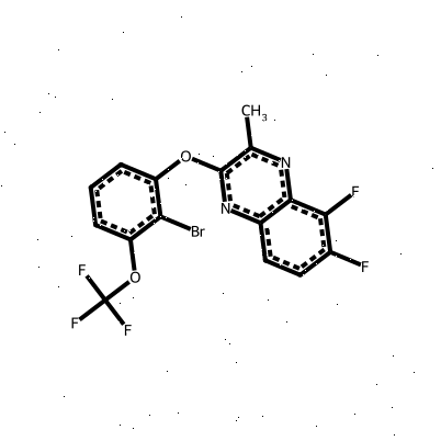 Cc1nc2c(F)c(F)ccc2nc1Oc1cccc(OC(F)(F)F)c1Br